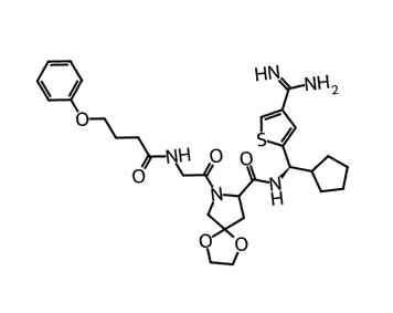 N=C(N)c1csc([C@H](NC(=O)C2CC3(CN2C(=O)CNC(=O)CCCOc2ccccc2)OCCO3)C2CCCC2)c1